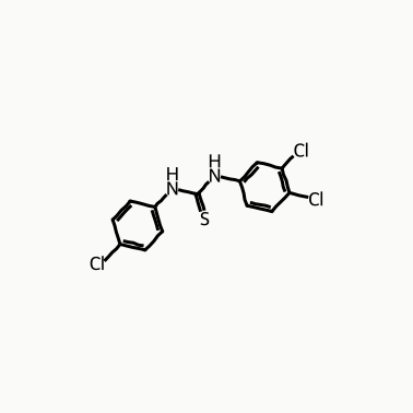 S=C(Nc1ccc(Cl)cc1)Nc1ccc(Cl)c(Cl)c1